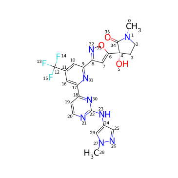 CN1CC[C@@](O)(c2cc(-c3cc(C(F)(F)F)cc(-c4ccnc(Nc5cnn(C)c5)n4)n3)no2)C1=O